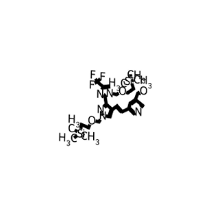 C[Si](C)(C)CCOCn1cc(/C=C/c2cncc(C=O)c2)c(-c2nc(C(F)(F)F)cn2COCC[Si](C)(C)C)n1